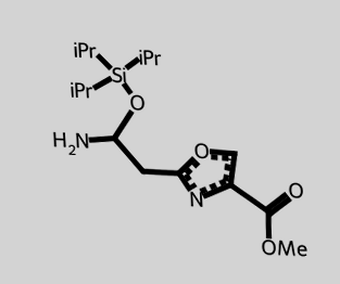 COC(=O)c1coc(CC(N)O[Si](C(C)C)(C(C)C)C(C)C)n1